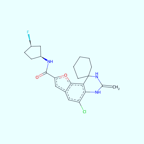 C=C1Nc2c(Cl)cc3cc(C(=O)N[C@H]4CC[C@@H](F)C4)oc3c2C2(CCCCC2)N1